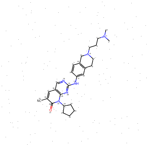 CN(C)CCCN1CCc2cc(Nc3ncc4cc(C#N)c(=O)n(C5CCCC5)c4n3)ccc2C1